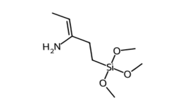 CC=C(N)CC[Si](OC)(OC)OC